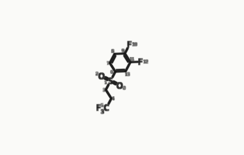 O=S(=O)(CCC(F)(F)F)c1ccc(F)c(F)c1